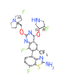 Nc1nc2c(-c3c(C(F)(F)F)cc4c(O[C@H]5CNC[C@H]5F)nc(OC[C@@]56CCCN5C[C@H](F)C6)nc4c3F)ccc(F)c2s1